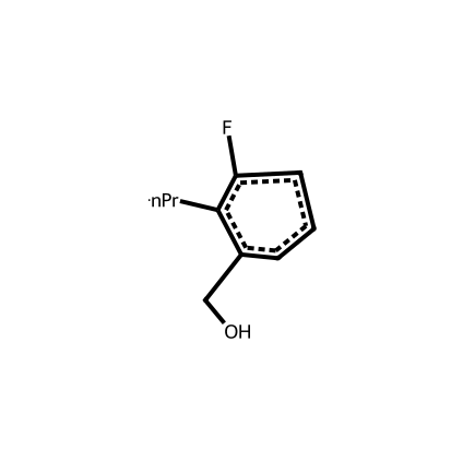 CC[CH]c1c(F)cccc1CO